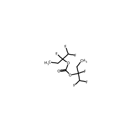 CCC(F)(OC(=O)OC(F)(CC)C(F)F)C(F)F